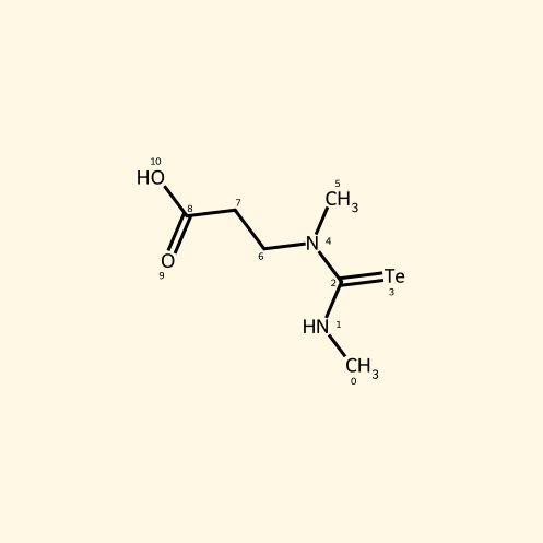 CNC(=[Te])N(C)CCC(=O)O